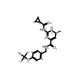 C[C@H]1C=C(C(=O)NCc2ccc(OC(F)(I)I)cc2)N=C(NC(=O)C2CC2)N1